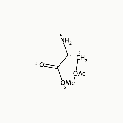 COC(=O)CN.COC(C)=O